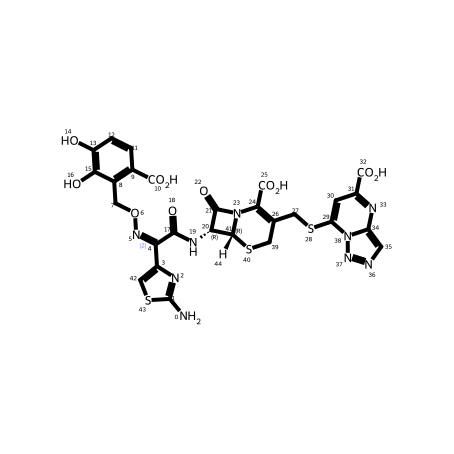 Nc1nc(/C(=N/OCc2c(C(=O)O)ccc(O)c2O)C(=O)N[C@@H]2C(=O)N3C(C(=O)O)=C(CSc4cc(C(=O)O)nc5cnnn45)CS[C@H]23)cs1